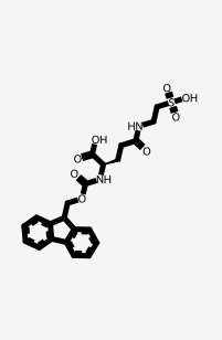 O=C(CC[C@@H](NC(=O)OCC1c2ccccc2-c2ccccc21)C(=O)O)NCCS(=O)(=O)O